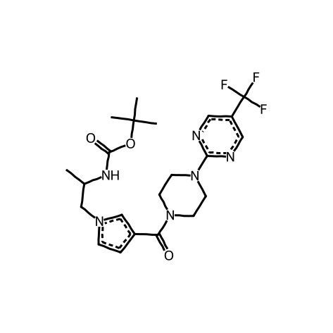 CC(Cn1ccc(C(=O)N2CCN(c3ncc(C(F)(F)F)cn3)CC2)c1)NC(=O)OC(C)(C)C